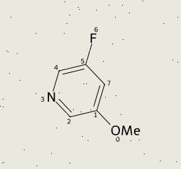 COc1cncc(F)c1